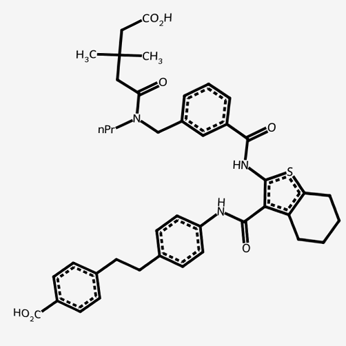 CCCN(Cc1cccc(C(=O)Nc2sc3c(c2C(=O)Nc2ccc(CCc4ccc(C(=O)O)cc4)cc2)CCCC3)c1)C(=O)CC(C)(C)CC(=O)O